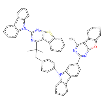 CC(C)(C)c1nc(-c2ccc3c4ccccc4n(-c4ccc(CC(C)(C)c5nc(-n6c7ccccc7c7ccccc76)nc6sc7ccccc7c56)cc4)c3c2)nc2oc3ccccc3c12